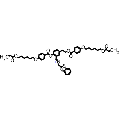 C=CC(=O)OCCCCCCOc1ccc(C(=O)OCCc2ccc(OC(=O)c3ccc(OCCCCCCOC(=O)C=C)cc3)c(/C=N/Cc3nc4ccccc4s3)c2)cc1